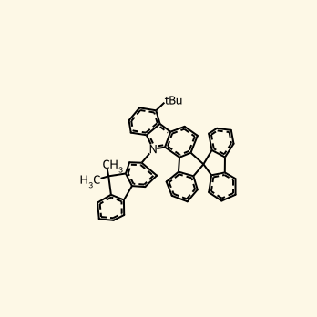 CC(C)(C)c1cccc2c1c1ccc3c(c1n2-c1ccc2c(c1)C(C)(C)c1ccccc1-2)-c1ccccc1C31c2ccccc2-c2ccccc21